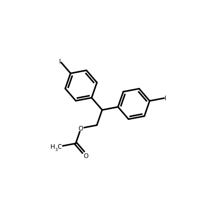 CC(=O)OCC(c1ccc(I)cc1)c1ccc(I)cc1